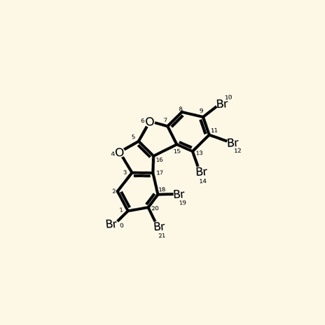 Brc1cc2oc3oc4cc(Br)c(Br)c(Br)c4c3c2c(Br)c1Br